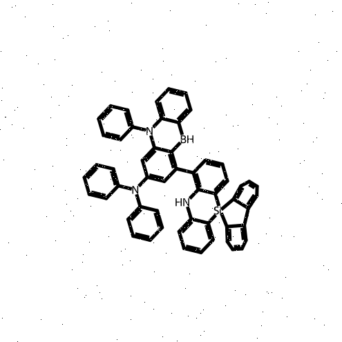 B1c2ccccc2N(c2ccccc2)c2cc(N(c3ccccc3)c3ccccc3)cc(-c3cccc4c3Nc3ccccc3[Si]43c4ccccc4-c4ccccc43)c21